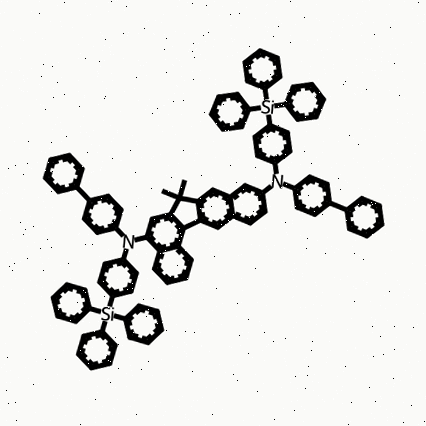 CC1(C)c2cc3cc(N(c4ccc(-c5ccccc5)cc4)c4ccc([Si](c5ccccc5)(c5ccccc5)c5ccccc5)cc4)ccc3cc2-c2c1cc(N(c1ccc(-c3ccccc3)cc1)c1ccc([Si](c3ccccc3)(c3ccccc3)c3ccccc3)cc1)c1ccccc21